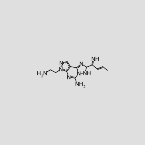 C/C=C/C(=N)C1N=C2c3cnn(CCN)c3N=C(N)N2N1